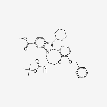 COC(=O)c1ccc2c(C3CCCCC3)c3n(c2c1)C[C@@H](NC(=O)OC(C)(C)C)COc1c(OCc2ccccc2)cccc1-3